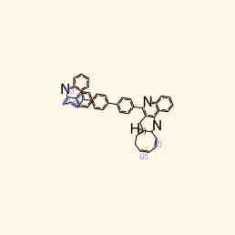 C1=C\CC[C@H]2Cc3c(-c4ccc(-c5ccc(C6=c7\cccc\c7=N\C(c7ccccc7)=C\C=C\6)cc5)cc4)nc4ccccc4c3N=C2\C=C/1